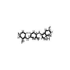 Cc1cnc2[nH]cc(Cc3ccc([CH]c4ccncc4F)nc3F)c2c1